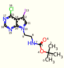 CC(C)(C)OC(=O)NCCn1cc(I)c2c(Cl)ncnc21